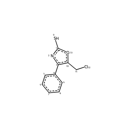 Sc1nc(-c2ccccc2)c(CCl)o1